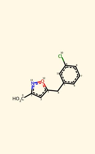 O=C(O)c1cc(Cc2cccc(Cl)c2)on1